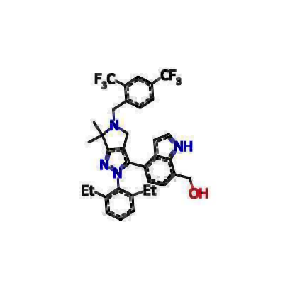 CCc1cccc(CC)c1-n1nc2c(c1-c1ccc(CO)c3[nH]ccc13)CN(Cc1ccc(C(F)(F)F)cc1C(F)(F)F)C2(C)C